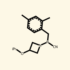 Cc1ccc(CN(C#N)N2CC(OC(C)C)C2)c(C)c1